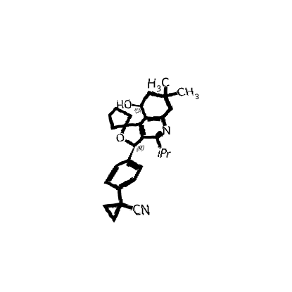 CC(C)c1nc2c(c3c1[C@@H](c1ccc(C4(C#N)CC4)cc1)OC31CCCC1)[C@@H](O)CC(C)(C)C2